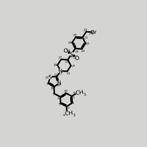 Cc1cc(C)cc(Cc2csc(N3CCC(S(=O)(=O)c4ccc(CBr)cc4)CC3)n2)c1